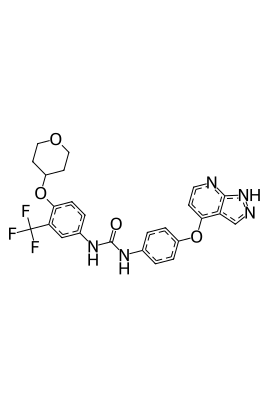 O=C(Nc1ccc(Oc2ccnc3[nH]ncc23)cc1)Nc1ccc(OC2CCOCC2)c(C(F)(F)F)c1